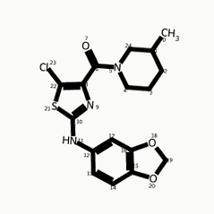 CC1CCCN(C(=O)c2nc(Nc3ccc4c(c3)OCO4)sc2Cl)C1